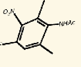 CC(=O)Nc1c(C)cc(F)c([N+](=O)[O-])c1C